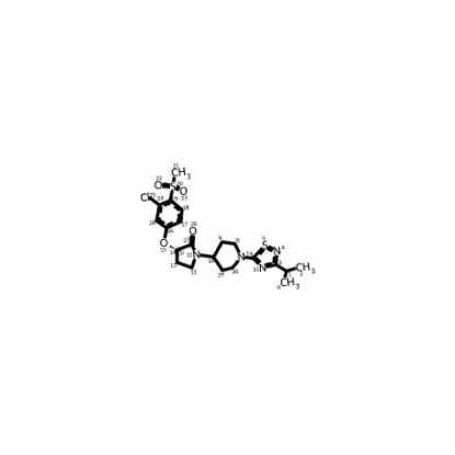 CC(C)c1nsc(N2CCC(N3CC[C@H](Oc4ccc(S(C)(=O)=O)c(Cl)c4)C3=O)CC2)n1